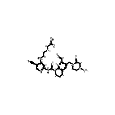 CN1CCN(Cc2cc3c(nc2C=O)N(C(=O)Nc2cc(NCCSCC(=O)O)c(C#N)cn2)CCC3)C(=O)C1